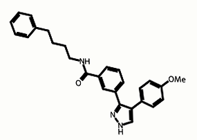 COc1ccc(-c2c[nH]nc2-c2cccc(C(=O)NCCCCc3ccccc3)c2)cc1